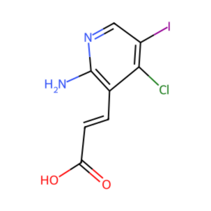 Nc1ncc(I)c(Cl)c1/C=C/C(=O)O